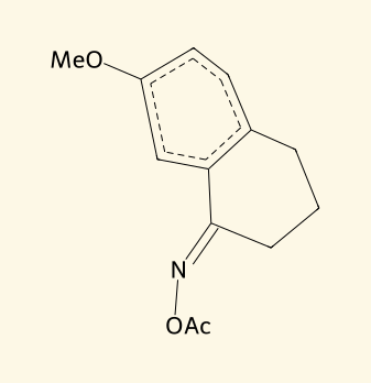 COc1ccc2c(c1)/C(=N/OC(C)=O)CCC2